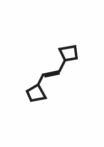 C(=CC1CCC1)C1CCC1